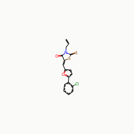 C=CCN1C(=O)C(=Cc2ccc(-c3ccccc3Cl)o2)SC1=S